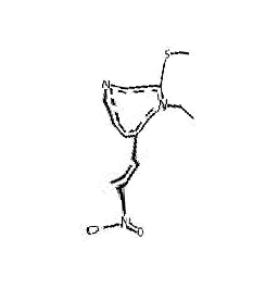 CSc1ncc(C=C[N+](=O)[O-])n1C